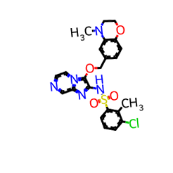 Cc1c(Cl)cccc1S(=O)(=O)Nc1nc2cnccn2c1OCc1ccc2c(c1)N(C)CCO2